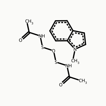 CC(=O)NSOSNC(C)=O.Cn1ccc2ccccc21